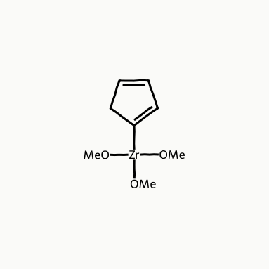 C[O][Zr]([O]C)([O]C)[C]1=CC=CC1